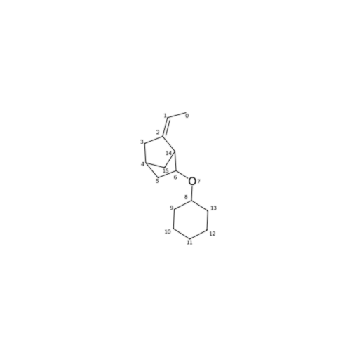 CC=C1CC2CC(OC3CCCCC3)C1C2